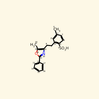 Cc1ccc(S(=O)(=O)O)c(CCc2nc(-c3ccccc3)oc2C)c1